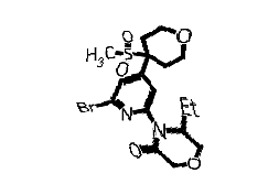 CCC1COCC(=O)N1c1cc(C2(S(C)(=O)=O)CCOCC2)cc(Br)n1